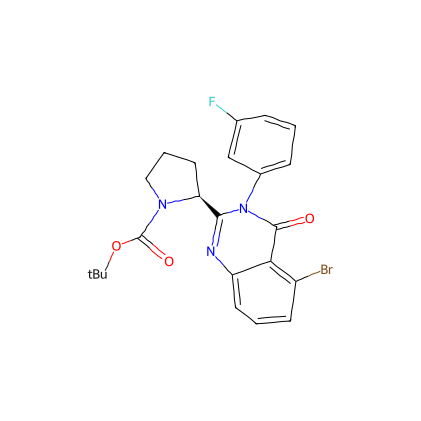 CC(C)(C)OC(=O)N1CCC[C@H]1c1nc2cccc(Br)c2c(=O)n1-c1cccc(F)c1